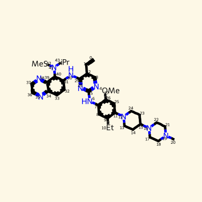 C=Cc1cnc(Nc2cc(CC)c(N3CCC(N4CCN(C)CC4)CC3)cc2OC)nc1Nc1ccc2nccnc2c1N(SC)C(C)C